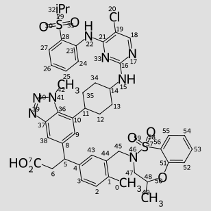 Cc1ccc(C(CC(=O)O)c2cc(C3CCC(Nc4ncc(Cl)c(Nc5ccccc5S(=O)(=O)C(C)C)n4)CC3)c3c(c2)nnn3C)cc1CN1CC(C)Oc2ccccc2S1(=O)=O